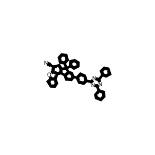 N#Cc1cc2c(c3c1oc1ccccc13)-c1ccc(-c3ccc(-c4nc(-c5ccccc5)nc(-c5ccccc5)n4)cc3)cc1C2(c1ccccc1)c1ccccc1